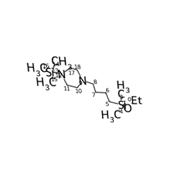 CCO[Si](C)(C)CCCCN1CCN([Si](C)(C)C)CC1